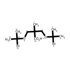 CCC(C)(C)OCC(C)(COC(C)(C)CC)C(=O)O